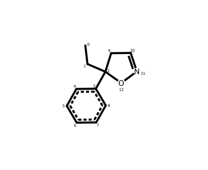 CCC1(c2ccccc2)C[C]=NO1